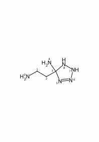 NCCC1(N)N=NNN1